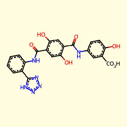 O=C(O)c1cc(NC(=O)c2cc(O)c(C(=O)Nc3ccccc3-c3nnn[nH]3)cc2O)ccc1O